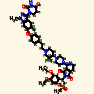 CCOc1cc([C@@H](CS(C)(=O)=O)N2C(=O)c3ccnc(N4CCN([C@H]5CCN(CCc6ccc(Oc7cc8c(cc7F)c(N7CCC(=O)NC7=O)nn8C)cc6)CC5(F)F)CC4)c3C2=O)ccc1OC